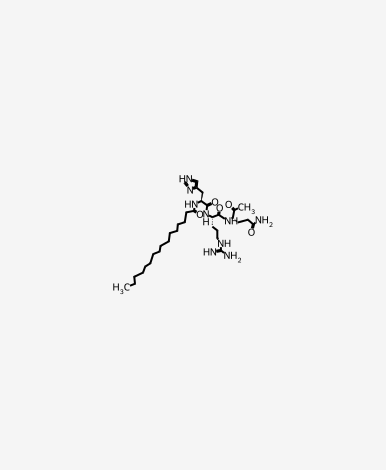 CCCCCCCCCCCCCCCC(=O)N[C@@H](Cc1c[nH]cn1)C(=O)N[C@@H](CCCNC(=N)N)C(=O)N[C@@H](CCC(N)=O)C(C)=O